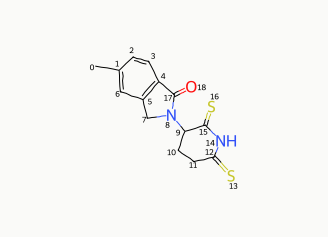 Cc1ccc2c(c1)CN(C1CCC(=S)NC1=S)C2=O